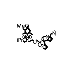 COc1cc(C)c(S(=O)(=O)N(CCOCC(=O)N2CCn3c(CN(C)C)ccc3C2c2cccs2)CC(C)C)c(C)c1C